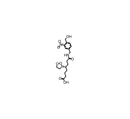 O=C(O)CCCC(CCC(=O)NCc1ccc(CO)c([N+](=O)[O-])c1)N1CCOO1